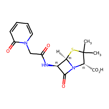 CC1(C)S[C@@H]2[C@H](NC(=O)Cn3ccccc3=O)C(=O)N2[C@H]1C(=O)O